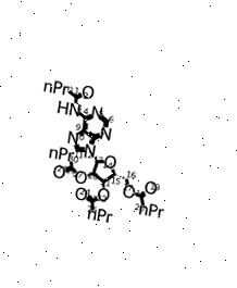 CCCC(=O)Nc1ncnc2c1ncn2[C@@H]1O[C@H](COC(=O)CCC)[C@@H](OC(=O)CCC)[C@H]1OC(=O)CCC